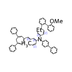 C\C=C/C(=C\C=C\C1=CC=C(c2ccccc2)CC(c2ccccc2)=C1)N(C(/C=C\Cc1ccccc1-c1ccccc1OC)=C/CC)c1ccc(-c2ccccc2)cc1